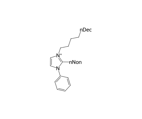 CCCCCCCCCCCCCC[n+]1ccn(-c2ccccc2)c1CCCCCCCCC